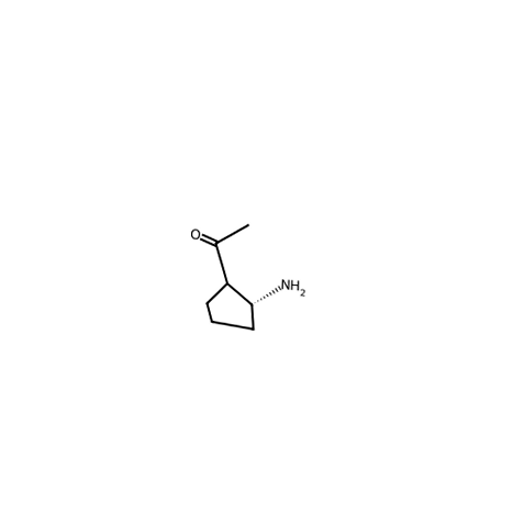 CC(=O)C1CCC[C@H]1N